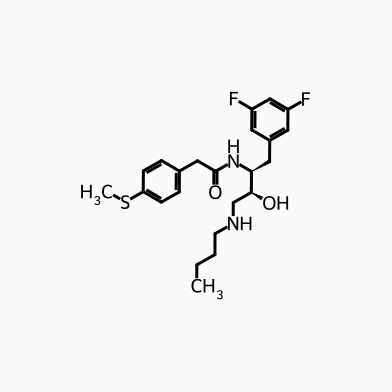 CCCCNC[C@H](O)[C@H](Cc1cc(F)cc(F)c1)NC(=O)Cc1ccc(SC)cc1